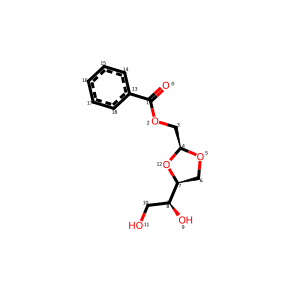 O=C(OC[C@H]1OC[C@@H]([C@@H](O)CO)O1)c1ccccc1